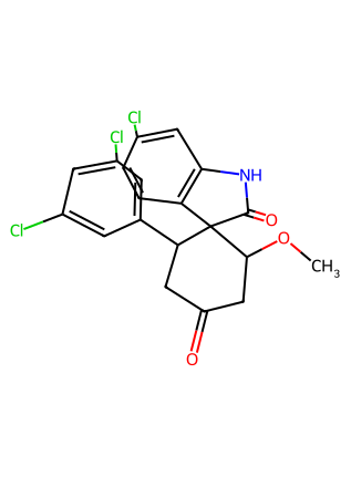 COC1CC(=O)CC(c2cc(Cl)cc(Cl)c2)C12C(=O)Nc1cc(Cl)ccc12